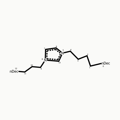 CCCCCCCCCCCCCCn1cc[n+](CCCCCCCCCCCCC)c1